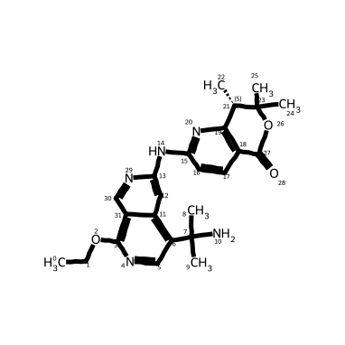 CCOc1ncc(C(C)(C)N)c2cc(Nc3ccc4c(n3)[C@H](C)C(C)(C)OC4=O)ncc12